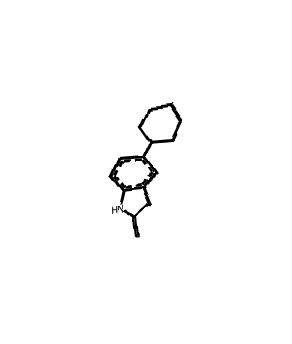 C=C1Cc2cc(C3CCCCC3)ccc2N1